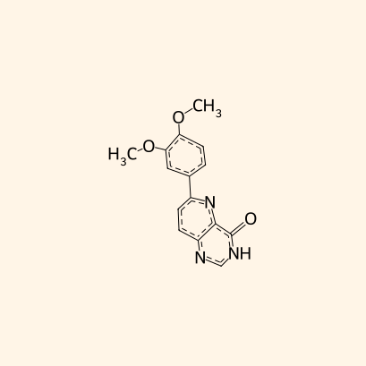 COc1ccc(-c2ccc3nc[nH]c(=O)c3n2)cc1OC